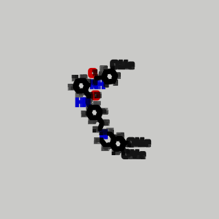 COc1cccc(C(=O)Nc2ccccc2C(=O)Nc2ccc(CCN3CCc4cc(OC)c(OC)cc4C3)cc2)c1